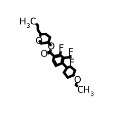 CCCC1CCC(OC(=O)c2ccc(C3CCC(OCC)CC3)c(C(F)F)c2F)CO1